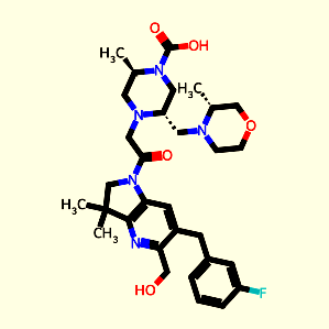 C[C@@H]1COCCN1C[C@H]1CN(C(=O)O)[C@H](C)CN1CC(=O)N1CC(C)(C)c2nc(CO)c(Cc3cccc(F)c3)cc21